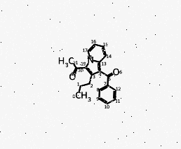 CCCc1c(C(=O)c2ccccc2)c2ccccn2c1C(C)=O